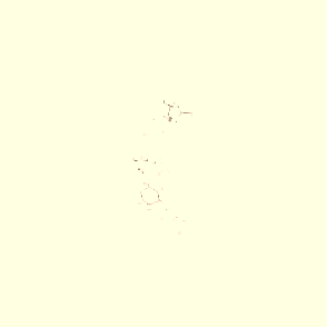 Cn1c(=O)[nH]c(=O)n1CCCCCS(=O)(=O)NC(c1ccc(F)c(OCC2CC2)c1)C1CC1